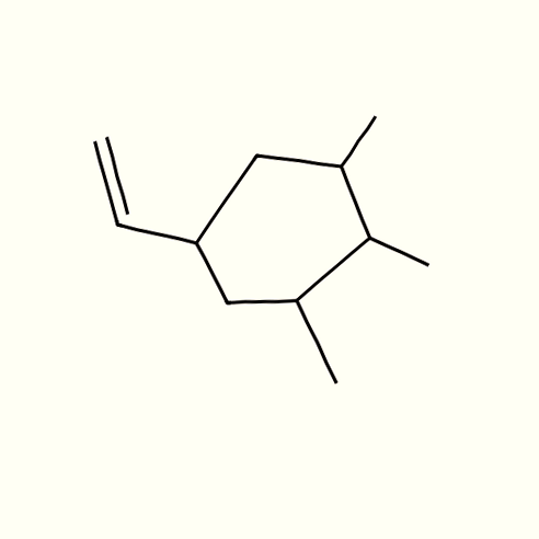 C=CC1CC(C)C(C)C(C)C1